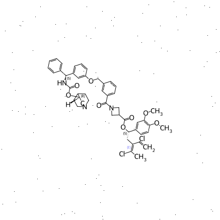 C=C(Cl)/C(C[C@H](OC(=O)C1CN(C(=O)c2cccc(COc3cccc([C@@H](NC(=O)O[C@H]4CN5CCC4CC5)c4ccccc4)c3)c2)C1)c1ccc(OC)c(OC)c1)=C(\C)Cl